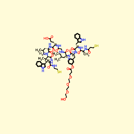 CCC(C)C[C@H](NC(=O)[C@H](Cc1cccc(OC(=O)CCOCCOCCOCCO)c1)NC(=O)[C@H](Cc1c[nH]c2ccccc12)NC(=O)[C@H](C)NC(=O)CCS)C(=O)NCC(=O)N[C@@H](CCC(=O)O)C(=O)N[C@@H](CC(C)C)C(=O)NC(C(=O)N[C@@H](Cc1c[nH]c2ccccc12)C(=O)NCCS)C(C)C